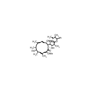 C=CC(C)C(OC(=O)[C@@H](C)[C@H](O)[C@H](C)[C@H]1OC(=O)/C(OC)=C/C(C)=C/[C@@H](C)[C@@H](O)[C@@H](C)C/C(C)=C/C=C/[C@@H]1OC)C(C)C